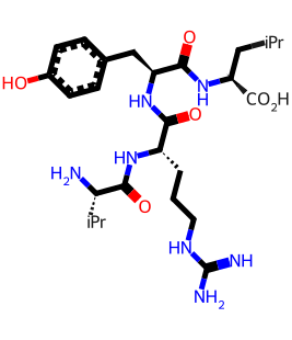 CC(C)C[C@H](NC(=O)[C@H](Cc1ccc(O)cc1)NC(=O)[C@H](CCCNC(=N)N)NC(=O)[C@@H](N)C(C)C)C(=O)O